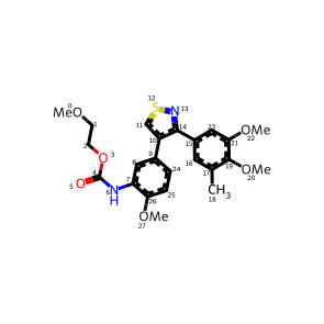 COCCOC(=O)Nc1cc(-c2csnc2-c2cc(C)c(OC)c(OC)c2)ccc1OC